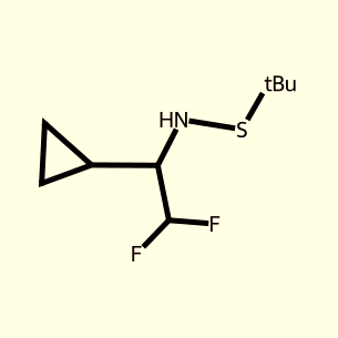 CC(C)(C)SNC(C(F)F)C1CC1